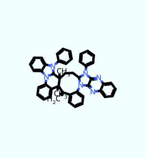 C=C1c2ccccc2N2c3nc4ccccc4nc3N(c3ccccc3)C2CCC2(C)C3N(c4ccccc4)c4ccccc4N3c3ccccc3C12C